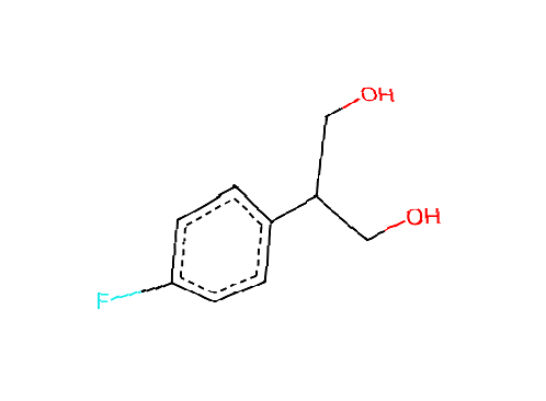 OCC(CO)c1ccc(F)cc1